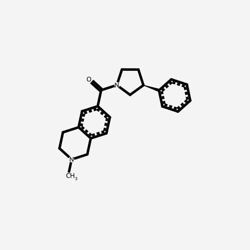 CN1CCc2cc(C(=O)N3CC[C@@H](c4ccccc4)C3)ccc2C1